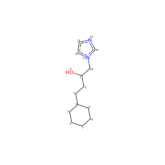 OC(CCC1CCCCC1)Cn1ccnc1